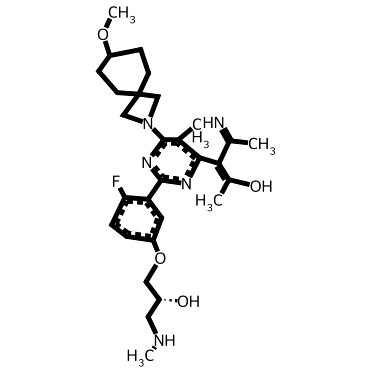 CNC[C@@H](O)COc1ccc(F)c(-c2nc(/C(C(C)=N)=C(\C)O)c(C)c(N3CC4(CCC(OC)CC4)C3)n2)c1